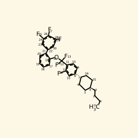 CCCC[C@H]1CC[C@H](c2ccc(C(F)(F)Oc3ccccc3-c3cc(F)c(F)c(F)c3)c(F)c2)CC1